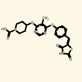 Cc1c(Oc2ccc(C=C3SC(=O)NC3=O)cc2)ncnc1OC1CCN(C(=O)O)CC1